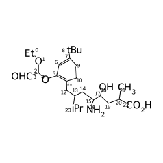 CCOC(C=O)Oc1cc(C(C)(C)C)ccc1CC(CC(N)C(O)CC(C)C(=O)O)C(C)C